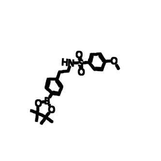 COc1ccc(S(=O)(=O)NCCc2ccc(B3OC(C)(C)C(C)(C)O3)cc2)cc1